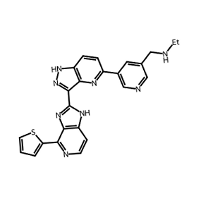 CCNCc1cncc(-c2ccc3[nH]nc(-c4nc5c(-c6cccs6)nccc5[nH]4)c3n2)c1